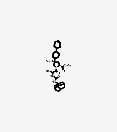 COC(=O)[C@@H]1C[C@@](OC)(c2ccc(-c3ccccc3)cc2)CN1C(=O)C(NC(=O)NC12CC3CC(CC(C3)C1)C2)C(C)(C)C